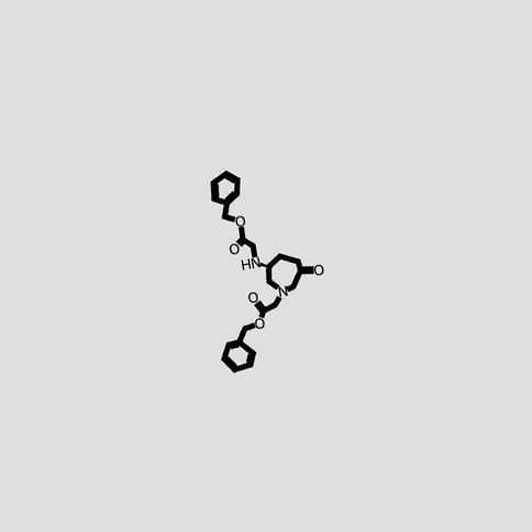 O=C1CC[C@H](NCC(=O)OCc2ccccc2)CN(CC(=O)OCc2ccccc2)C1